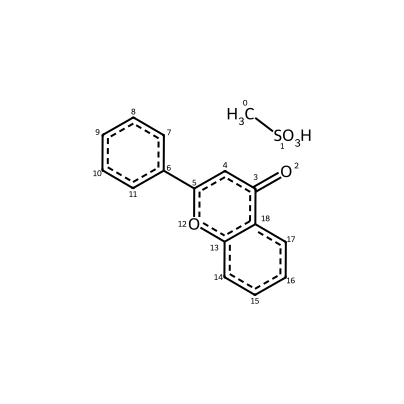 CS(=O)(=O)O.O=c1cc(-c2ccccc2)oc2ccccc12